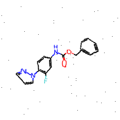 O=C(Nc1ccc(-n2cccn2)c(F)c1)OCc1ccccc1